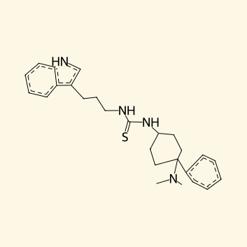 CN(C)C1(c2ccccc2)CCC(NC(=S)NCCCc2c[nH]c3ccccc23)CC1